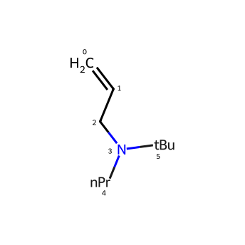 C=CCN(CCC)C(C)(C)C